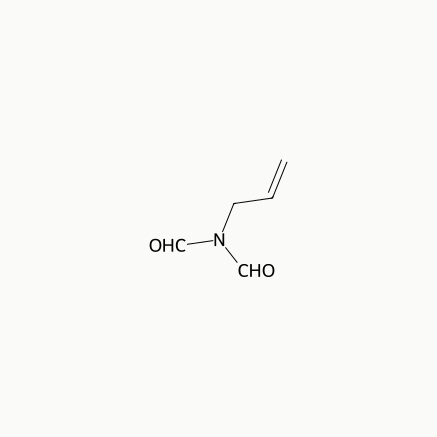 C=CCN(C=O)C=O